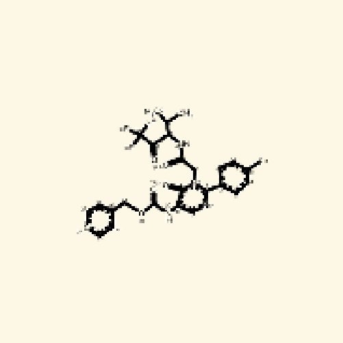 CC(C)C(NC(=O)Cn1c(-c2ccc(F)cc2)ncc(NC(=O)OCc2ccncc2)c1=O)C(=O)C(F)(F)F